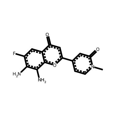 Cn1ccc(-c2cc(=O)c3cc(F)c(N)c(N)c3o2)cc1=O